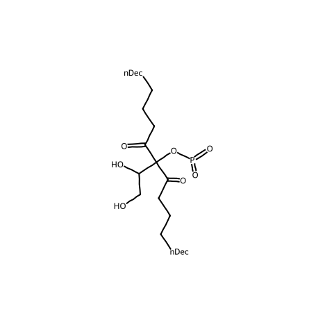 CCCCCCCCCCCCCC(=O)C(OP(=O)=O)(C(=O)CCCCCCCCCCCCC)C(O)CO